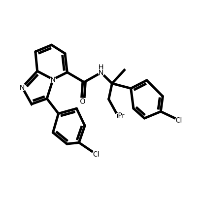 CC(C)CC(C)(NC(=O)c1cccc2n[c]c(-c3ccc(Cl)cc3)n12)c1ccc(Cl)cc1